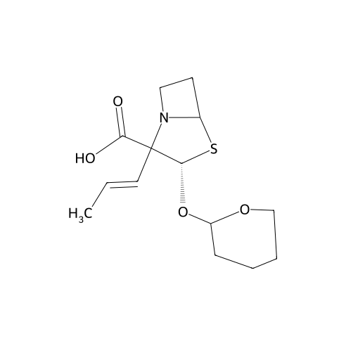 CC=CC1(C(=O)O)[C@@H](OC2CCCCO2)SC2CCN21